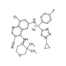 [2H][C@](Nc1cc(Cl)c2ncc(C#N)c(N[C@@H]3CCOCC3(C)C)c2c1)(c1ccc(F)cc1)c1cn(C2CC2)nn1